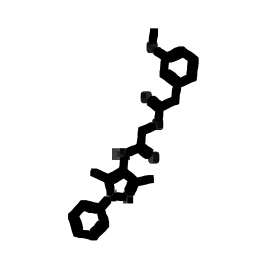 COc1cccc(CC(=O)OCC(=O)Nc2c(C)nn(-c3ccccc3)c2C)c1